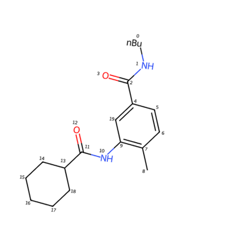 CCCCNC(=O)c1ccc(C)c(NC(=O)C2CCCCC2)c1